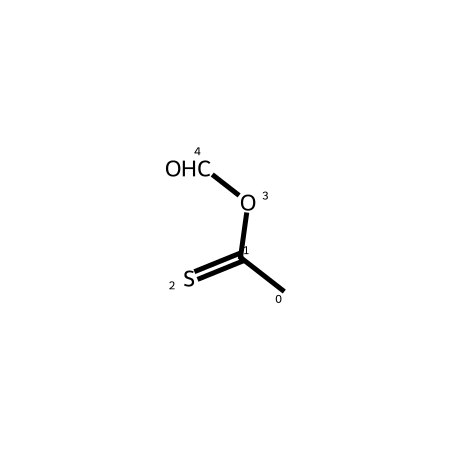 CC(=S)OC=O